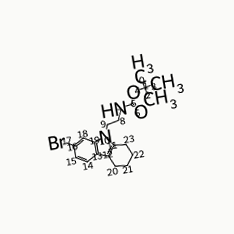 CC(C)(C)OC(=O)NCCn1c2c(c3ccc(Br)cc31)CCCC2